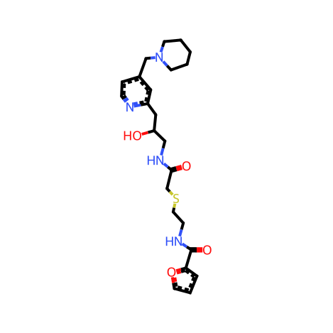 O=C(CSCCNC(=O)c1ccco1)NCC(O)Cc1cc(CN2CCCCC2)ccn1